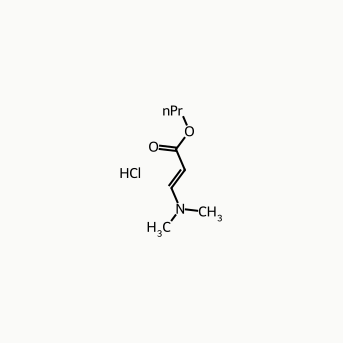 CCCOC(=O)C=CN(C)C.Cl